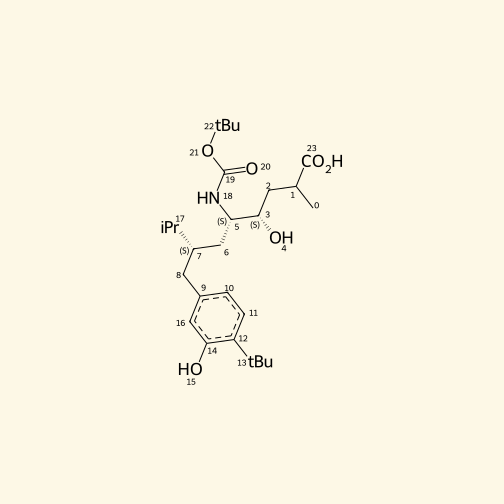 CC(C[C@H](O)[C@H](C[C@H](Cc1ccc(C(C)(C)C)c(O)c1)C(C)C)NC(=O)OC(C)(C)C)C(=O)O